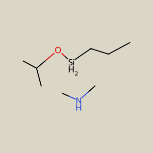 CCC[SiH2]OC(C)C.CNC